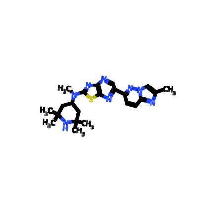 Cc1cn2nc(-c3cnc4nc(N(C)C5CC(C)(C)NC(C)(C)C5)sc4n3)ccc2n1